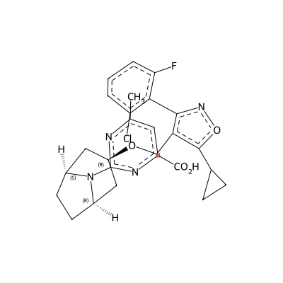 Cc1cc(C(=O)O)nc(N2[C@@H]3CC[C@H]2C[C@@H](OCc2c(-c4c(F)cccc4Cl)noc2C2CC2)C3)n1